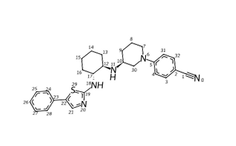 N#Cc1ccc(N2CCC[C@H](N[C@@H]3CCCC[C@H]3Nc3ncc(-c4ccccc4)s3)C2)cc1